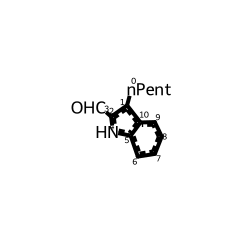 CCCCCc1c(C=O)[nH]c2ccccc12